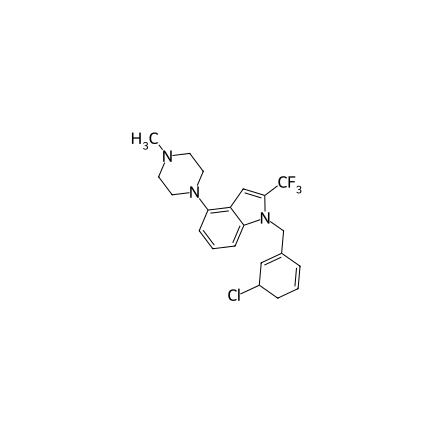 CN1CCN(c2cccc3c2cc(C(F)(F)F)n3CC2=CC(Cl)CC=C2)CC1